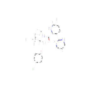 Cc1ccc(-c2ncc(F)cn2)c(C(=O)N2C3CC(C3)[C@@H](C)[C@H]2COc2ccc(F)cc2)n1